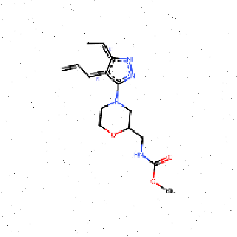 C=C/C=c1/c(N2CCOC(CNC(=O)OC(C)(C)C)C2)n[nH]/c1=C/C